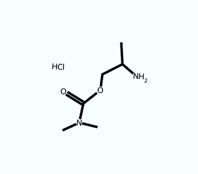 CC(N)COC(=O)N(C)C.Cl